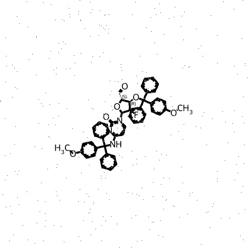 COc1ccc(C(Nc2ccn(C3O[C@H](C=O)[C@@H](OC(c4ccccc4)(c4ccccc4)c4ccc(OC)cc4)[C@H]3F)c(=O)n2)(c2ccccc2)c2ccccc2)cc1